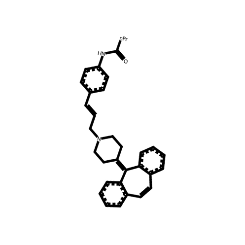 CCCC(=O)Nc1ccc(C=CCN2CCC(=C3c4ccccc4C=Cc4ccccc43)CC2)cc1